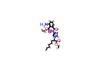 CCCCCCC(C(=O)OCC)n1cnc(NC(=O)c2cccc(N)c2C(=O)OCC)c1